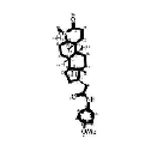 COc1ccc(NC(=O)C[C@H]2CC[C@H]3[C@@H]4CC[C@H]5N(C)C(=O)C=C[C@]5(C)[C@H]4CC[C@]23C)cc1